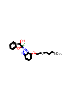 CCCCCCCCCCCCCCCCOc1cccc2nn(C(Cl)(Oc3ccccc3)C(O)CCCCCC)nc12